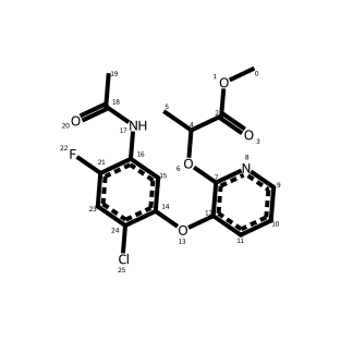 COC(=O)C(C)Oc1ncccc1Oc1cc(NC(C)=O)c(F)cc1Cl